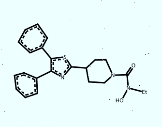 CCN(O)C(=O)N1CCC(c2nc(-c3ccccc3)c(-c3ccccc3)s2)CC1